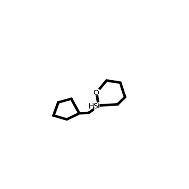 C1CC[SiH](CC2CCCC2)OC1